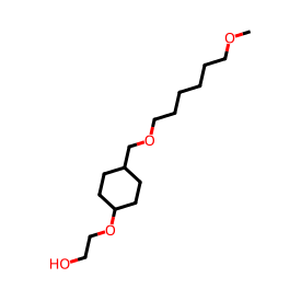 COCCCCCCOCC1CCC(OCCO)CC1